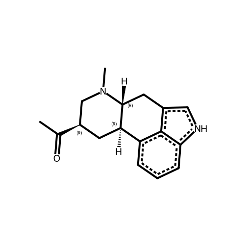 CC(=O)[C@@H]1C[C@@H]2c3cccc4[nH]cc(c34)C[C@H]2N(C)C1